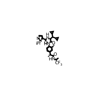 CC(C)n1nccc1C(=O)N[C@H](C(=O)Nc1ccc([C@H](C)C(=O)N[C@@H](C)C(F)(F)F)cc1F)C(C1CC1)C1CC1